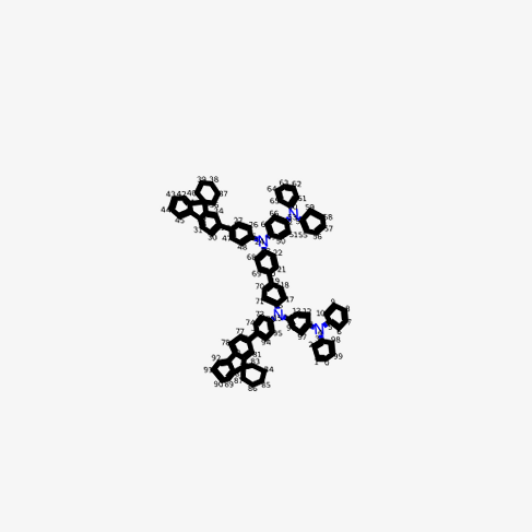 c1ccc(N(c2ccccc2)c2ccc(N(c3ccc(-c4ccc(N(c5ccc(-c6ccc7c(c6)C6(CCCCC6)c6ccccc6-7)cc5)c5ccc(N(c6ccccc6)c6ccccc6)cc5)cc4)cc3)c3ccc(-c4ccc5c(c4)C4(CCCCC4)c4ccccc4-5)cc3)cc2)cc1